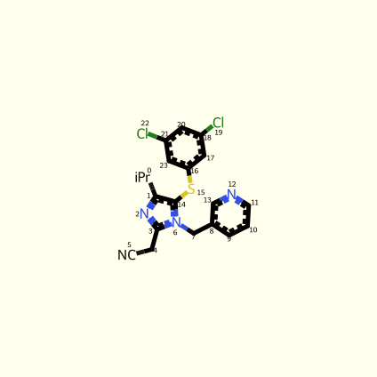 CC(C)c1nc(CC#N)n(Cc2cccnc2)c1Sc1cc(Cl)cc(Cl)c1